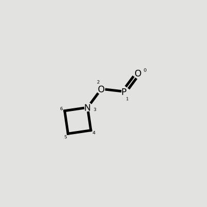 O=PON1CCC1